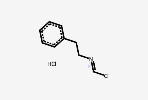 Cl.Cl/C=N/CCc1ccccc1